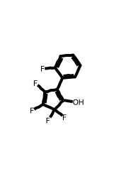 OC1=C(c2ccccc2F)C(F)=C(F)C1(F)F